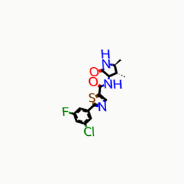 C[C@H]1[C@H](C)NC(=O)[C@@H]1NC(=O)c1cnc(-c2cc(F)cc(Cl)c2)s1